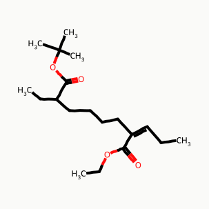 CCC=C(CCCCC(CC)C(=O)OC(C)(C)C)C(=O)OCC